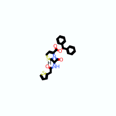 O=C(Cc1cccs1)NC1C(=O)N2C(C(=O)OC(c3ccccc3)c3ccccc3)=CCS[C@@H]12